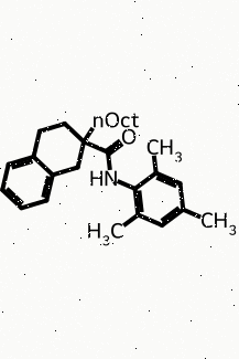 CCCCCCCCC1(C(=O)Nc2c(C)cc(C)cc2C)CCc2ccccc2C1